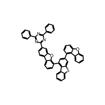 c1ccc(-c2nc(-c3ccccc3)nc(-c3ccc4c(c3)oc3c(-c5cc(-c6cccc7oc8ccccc8c67)cc6sc7ccccc7c56)cccc34)n2)cc1